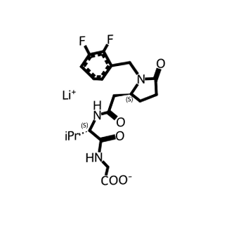 CC(C)[C@H](NC(=O)C[C@@H]1CCC(=O)N1Cc1cccc(F)c1F)C(=O)NCC(=O)[O-].[Li+]